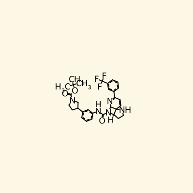 CC(C)(C)OC(=O)N1CCC(c2cccc(NC(=O)N3C4N=C(c5cccc(C(F)(F)F)c5)C=CC45NCC[C@H]35)c2)C1